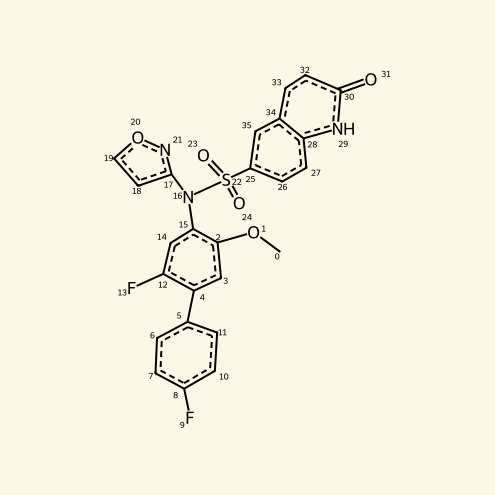 COc1cc(-c2ccc(F)cc2)c(F)cc1N(c1ccon1)S(=O)(=O)c1ccc2[nH]c(=O)ccc2c1